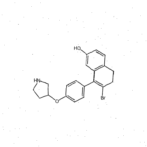 Oc1ccc2c(c1)C(c1ccc(OC3CCNC3)cc1)=C(Br)CC2